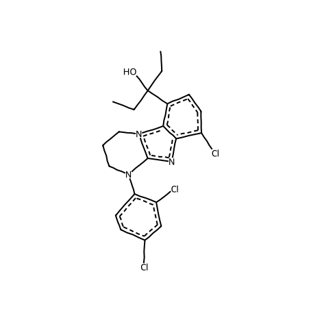 CCC(O)(CC)c1ccc(Cl)c2nc3n(c12)CCCN3c1ccc(Cl)cc1Cl